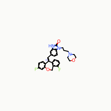 O=c1[nH]c2cc(/C=C3/c4ccc(F)cc4OCc4c(F)cccc43)ccc2n1CCCN1CCOCC1